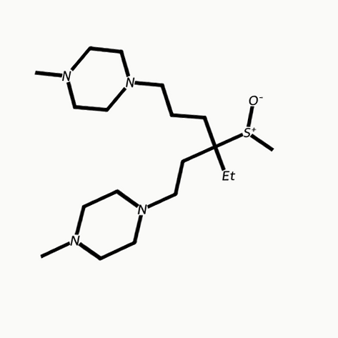 [CH2]CC(CCCN1CCN(C)CC1)(CCN1CCN(C)CC1)[S+](C)[O-]